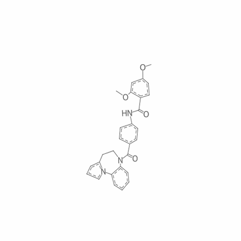 COc1ccc(C(=O)Nc2ccc(C(=O)N3CCc4cccn4-c4ccccc43)cc2)c(OC)c1